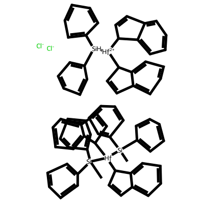 C1=C[CH]([Hf+2]([CH]2C=Cc3ccccc32)[SiH](c2ccccc2)c2ccccc2)c2ccccc21.C[Si](c1ccccc1)(c1ccccc1)[Hf]([CH]1C=Cc2ccccc21)([CH]1C=Cc2ccccc21)[Si](C)(c1ccccc1)c1ccccc1.[Cl-].[Cl-]